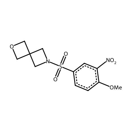 COc1ccc(S(=O)(=O)N2CC3(COC3)C2)cc1[N+](=O)[O-]